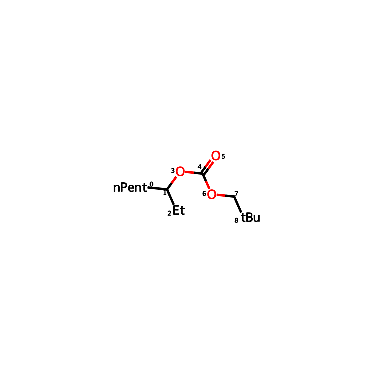 CCCCCC(CC)OC(=O)OCC(C)(C)C